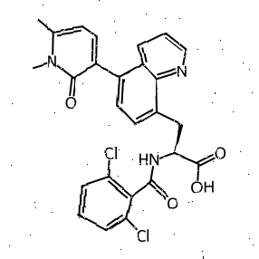 Cc1ccc(-c2ccc(C[C@H](NC(=O)c3c(Cl)cccc3Cl)C(=O)O)c3ncccc23)c(=O)n1C